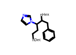 CCCCCCCCCCCCC(C(CCCCCC)Cc1ccccc1)n1ccnc1